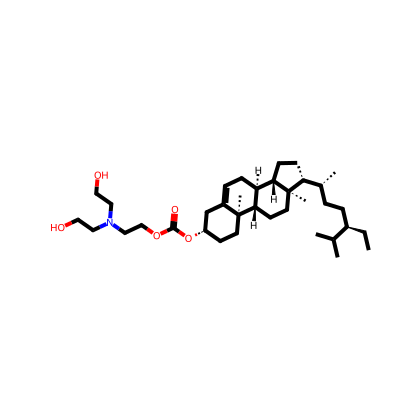 CC[C@H](CC[C@@H](C)[C@H]1CC[C@H]2[C@@H]3CC=C4C[C@@H](OC(=O)OCCN(CCO)CCO)CC[C@]4(C)[C@H]3CC[C@]12C)C(C)C